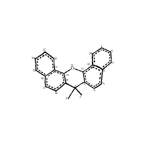 CC1(C)c2ccc3ccccc3c2Oc2c1ccc1ccccc21